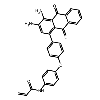 C=CC(=O)Nc1ccc(Oc2ccc(-c3cc(N)c(N)c4c3C(=O)c3ccccc3C4=O)cc2)cc1